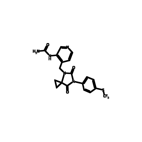 NC(=O)Nc1cnccc1CN1C(=O)N(c2ccc(SC(F)(F)F)cc2)C(=O)C12CC2